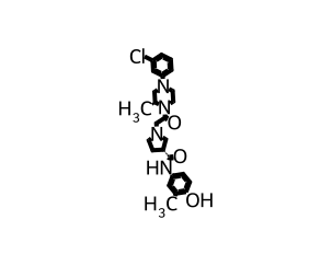 Cc1cc(NC(=O)[C@@H]2CCN(CC(=O)N3CCN(c4cccc(Cl)c4)C[C@@H]3C)C2)ccc1O